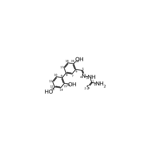 NC(=S)NN=Cc1cc(-c2ccc(O)cc2O)ccc1O